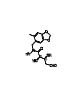 CCCN(Cc1cc2c(cc1C)OCO2)C(=O)[C@H](O)[C@@H](O)CC=O